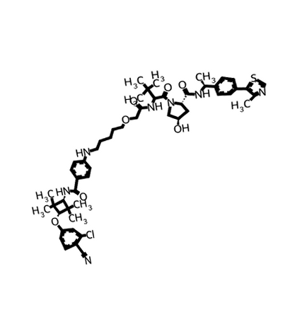 Cc1ncsc1-c1ccc([C@H](C)NC(=O)[C@@H]2C[C@@H](O)CN2C(=O)C(NC(=O)COCCCCCNc2ccc(C(=O)N[C@H]3C(C)(C)[C@@H](Oc4ccc(C#N)c(Cl)c4)C3(C)C)cc2)C(C)(C)C)cc1